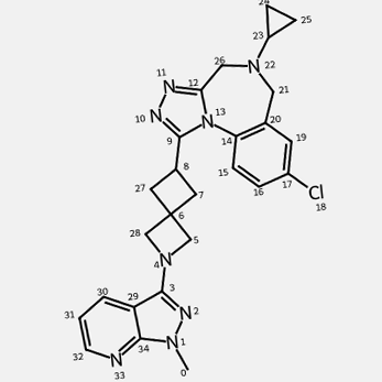 Cn1nc(N2CC3(CC(c4nnc5n4-c4ccc(Cl)cc4CN(C4CC4)C5)C3)C2)c2cccnc21